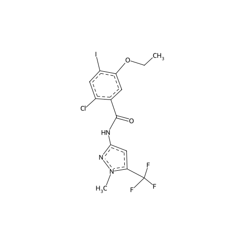 CCOc1cc(C(=O)Nc2cc(C(F)(F)F)n(C)n2)c(Cl)cc1I